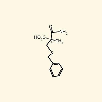 C[C@@](CSCc1ccccc1)(C(N)=O)C(=O)O